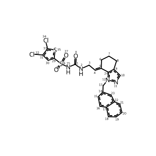 O=C(NC/C=C1\CCCc2cnn(Cc3ccc4ccccc4c3)c21)NS(=O)(=O)c1cc(Cl)c(Cl)s1